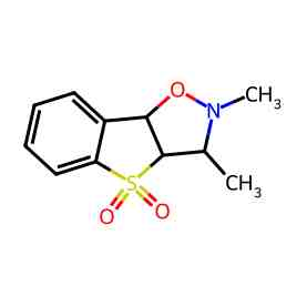 CC1C2C(ON1C)c1ccccc1S2(=O)=O